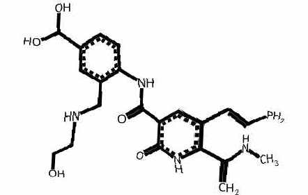 C=C(NC)c1[nH]c(=O)c(C(=O)Nc2ccc(C(O)O)cc2CNCCO)cc1/C=C/P